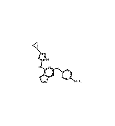 CC(=O)Nc1ccc(Sc2cc3nccn3c(Nc3cc(C4CC4)n[nH]3)n2)cc1